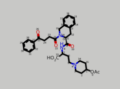 CC(=O)OC1CCN(CCC(NC(=O)[C@@H]2Cc3ccccc3CN2C(=O)CCC(=O)c2ccccc2)C(=O)O)CC1